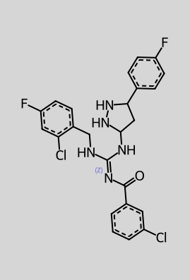 O=C(/N=C(/NCc1ccc(F)cc1Cl)NC1CC(c2ccc(F)cc2)NN1)c1cccc(Cl)c1